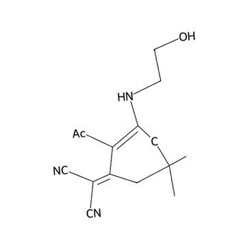 CC(=O)C1=C(NCCO)CC(C)(C)CC1=C(C#N)C#N